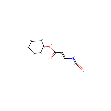 O=C=N/C=C/C(=O)OC1CCCCC1